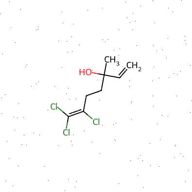 C=CC(C)(O)CCC(Cl)=C(Cl)Cl